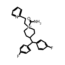 NC(=O)[N+]1(CCc2ccccn2)CCC(C(c2ccc(F)cc2)c2ccc(F)cc2)CC1